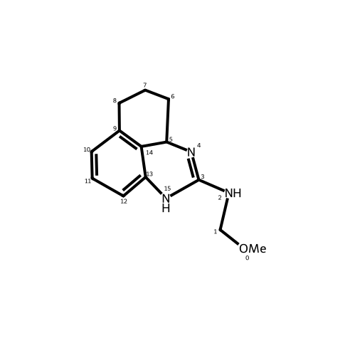 COCNC1=NC2CCCc3cccc(c32)N1